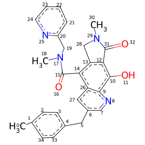 Cc1ccc(Cc2cnc3c(O)c4c(c(C(=O)N(C)Cc5ccccn5)c3c2)CN(C)C4=O)cc1